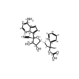 CC(CC[C@H]1O[C@@](C#N)(c2ccc3c(N)ncnn23)[C@H](O)[C@@H]1O)(OC(=O)O)c1ccccn1